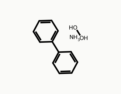 N.OO.c1ccc(-c2ccccc2)cc1